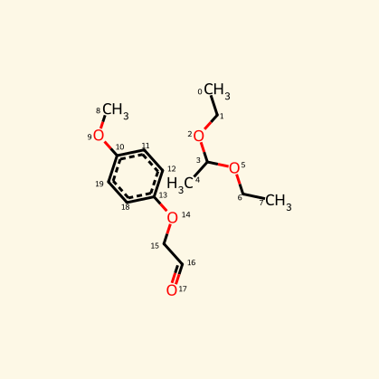 CCOC(C)OCC.COc1ccc(OCC=O)cc1